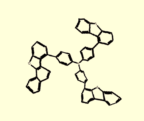 c1ccc2c(c1)ccc1c2oc2cccc(-c3ccc(N(c4ccc(-c5cccc6c5sc5ccccc56)cc4)c4ccc(-c5cccc6sc7ccccc7c56)cc4)cc3)c21